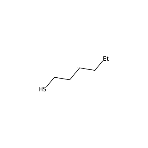 CCC[CH]CCS